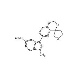 CC(=O)Nc1cc2c(-c3ccc4c(n3)C3(CCOC3)OCO4)cn(C)c2cn1